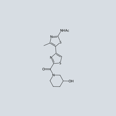 CC(=O)Nc1nc(C)c(-c2csc(C(=O)N3CCCC(O)C3)n2)s1